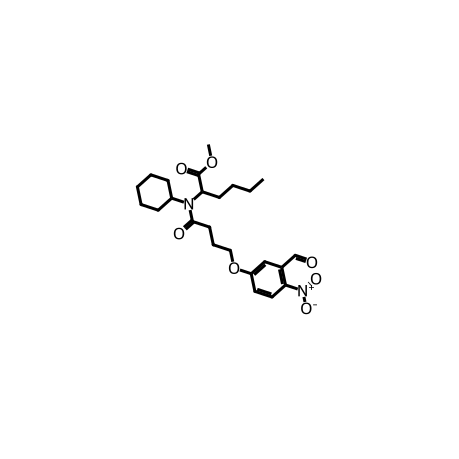 CCCCC(C(=O)OC)N(C(=O)CCCOc1ccc([N+](=O)[O-])c(C=O)c1)C1CCCCC1